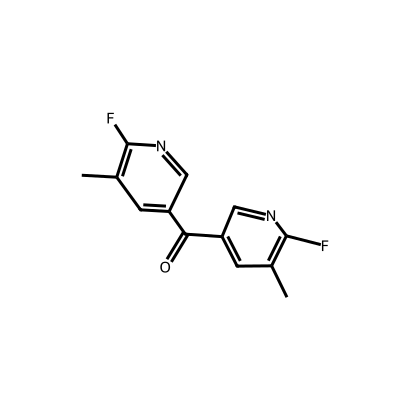 Cc1cc(C(=O)c2cnc(F)c(C)c2)cnc1F